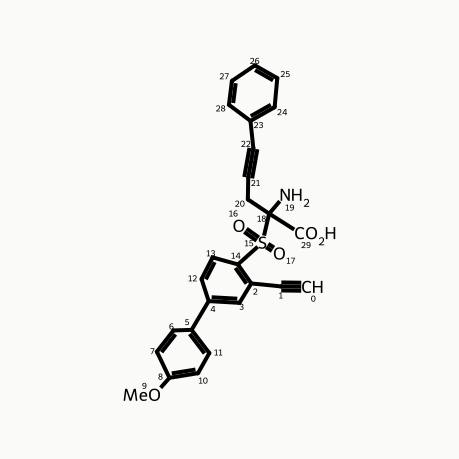 C#Cc1cc(-c2ccc(OC)cc2)ccc1S(=O)(=O)C(N)(CC#Cc1ccccc1)C(=O)O